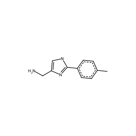 Cc1ccc(C2=NC(CN)=C[N]2)cc1